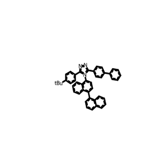 CC(C)(C)c1ccc(-c2nnc(-c3ccc(-c4ccccc4)cc3)n2-c2ccc(-c3cccc4ccccc34)c3ccccc23)cc1